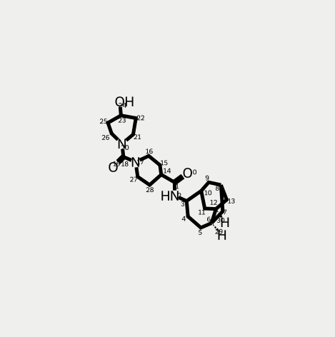 O=C(NC1CC[C@@H]2CC3CC1C[C@H]2C3)C1CCN(C(=O)N2CCC(O)CC2)CC1